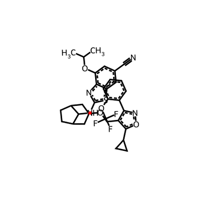 CC(C)Oc1cc(C#N)cc2sc(NC3C4CCC3CC(OCc3c(-c5ccccc5OC(F)(F)F)noc3C3CC3)C4)nc12